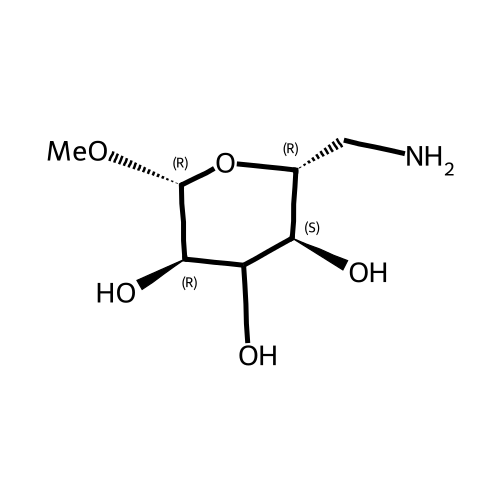 CO[C@@H]1O[C@H](CN)[C@@H](O)C(O)[C@H]1O